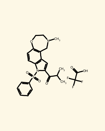 CC(C)C(=O)c1cc2c3c(ccc2n1S(=O)(=O)c1ccccc1)OCCN(C)C3.O=C(O)C(F)(F)F